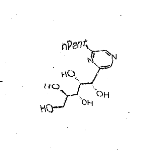 CCCCCc1cncc([C@H](O)[C@@H](O)[C@H](O)[C@H](O)CO)n1